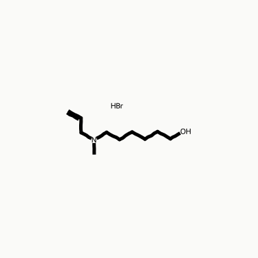 Br.C=CCN(C)CCCCCCO